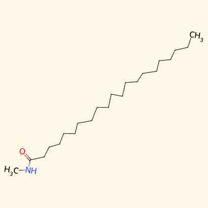 CCCCCCCCCCCCCCCCCCCCC(=O)NC